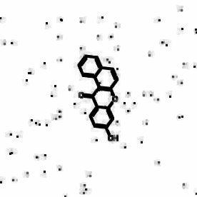 O=c1c2ccc(O)cc2oc2ccc3ccccc3c12